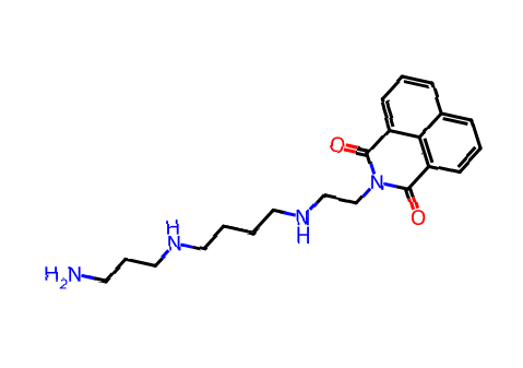 NCCCNCCCCNCCN1C(=O)c2cccc3cccc(c23)C1=O